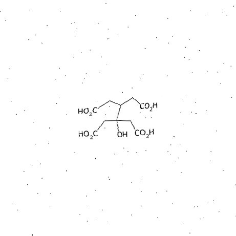 O=C(O)CC(CC(=O)O)C(O)(CC(=O)O)CC(=O)O